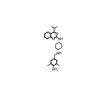 Cc1cc(CN[C@H]2CC[C@@H](Nc3nc(N(C)C)c4ccccc4n3)CC2)cc(C)c1[N+](=O)[O-]